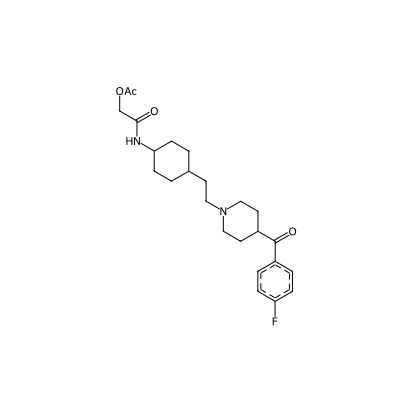 CC(=O)OCC(=O)NC1CCC(CCN2CCC(C(=O)c3ccc(F)cc3)CC2)CC1